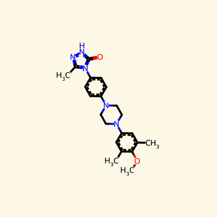 COc1c(C)cc(N2CCN(c3ccc(-n4c(C)n[nH]c4=O)cc3)CC2)cc1C